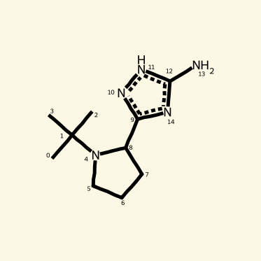 CC(C)(C)N1CCCC1c1n[nH]c(N)n1